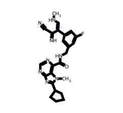 CN/C=C(\C(=N)C#N)c1cc(F)cc(CNC(=O)c2ncnc3nc(C4CCCC4)n(C)c23)c1